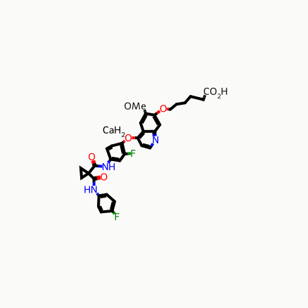 COc1cc2c(Oc3ccc(NC(=O)C4(C(=O)Nc5ccc(F)cc5)CC4)cc3F)ccnc2cc1OCCCCCC(=O)O.[CaH2]